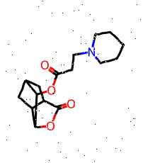 O=C(CCN1CCCCC1)OC1C2CC3C(=O)OC1C3C2